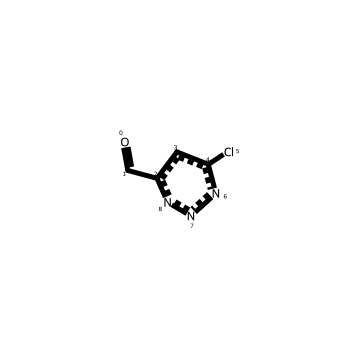 O=Cc1cc(Cl)nnn1